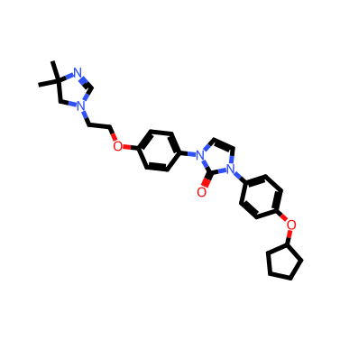 CC1(C)CN(CCOc2ccc(-n3ccn(-c4ccc(OC5CCCC5)cc4)c3=O)cc2)C=N1